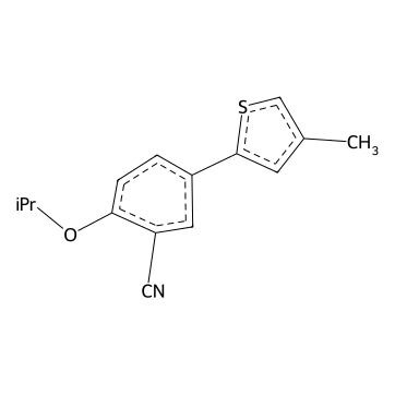 Cc1csc(-c2ccc(OC(C)C)c(C#N)c2)c1